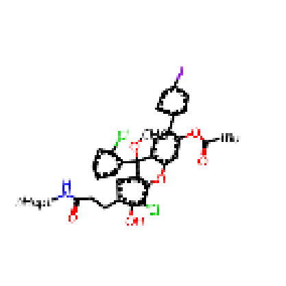 CCCCCCCNC(=O)CCc1cc2c(c(Cl)c1O)Oc1cc(OC(=O)C(C)(C)C)c(-c3ccc(I)cc3)cc1C2(OC=O)c1ccccc1Cl